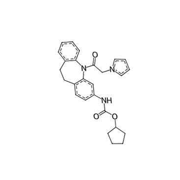 O=C(Nc1ccc2c(c1)N(C(=O)Cn1cccc1)c1ccccc1CC2)OC1CCCC1